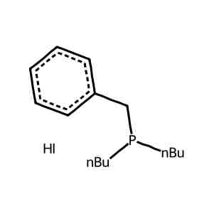 CCCCP(CCCC)Cc1ccccc1.I